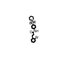 O=C(/C=C/c1ccccc1Br)Nc1ccc(S(=O)(=O)N2CCCCC2)cc1